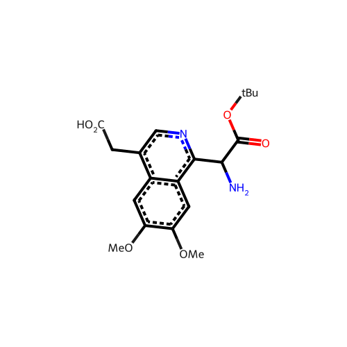 COc1cc2c(CC(=O)O)cnc(C(N)C(=O)OC(C)(C)C)c2cc1OC